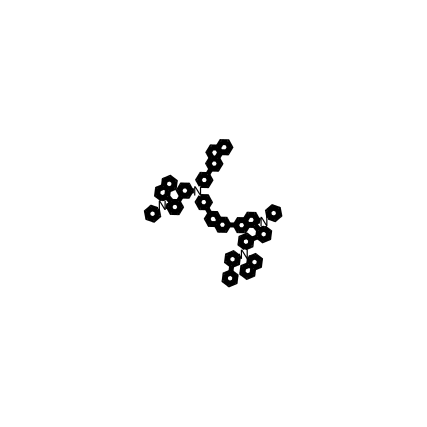 c1ccc(-c2cccc(N(c3cccc(-c4cccc5c4c4c6ccc(-c7ccc8ccc(-c9ccc(N(c%10ccc(-c%11ccc%12c(ccc%13ccccc%13%12)c%11)cc%10)c%10cccc(-c%11cccc%12c%11c%11c%13ccccc%13ccc%11n%12-c%11ccccc%11)c%10)cc9)cc8c7)cc6ccc4n5-c4ccccc4)c3)c3cccc4ccccc34)c2)cc1